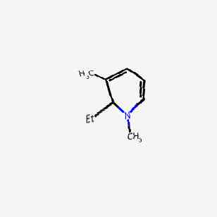 CCC1C(C)=CC=CN1C